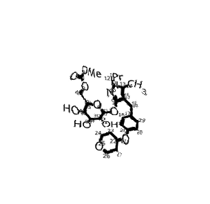 COC(=O)OC[C@H]1O[C@@H](Oc2nn(C(C)C)c(C)c2Cc2ccc(OC3CCOCC3)cc2)[C@H](O)[C@@H](O)[C@@H]1O